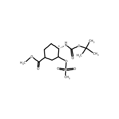 COC(=O)C1CC[C@H](NC(=O)OC(C)(C)C)C(OS(C)(=O)=O)C1